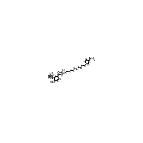 CS(=O)(=O)Nc1cc(C(O)CNCCCCCCOCCCCc2ccc(N)cc2)ccc1O